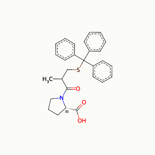 CC(CSC(c1ccccc1)(c1ccccc1)c1ccccc1)C(=O)N1CCC[C@H]1C(=O)O